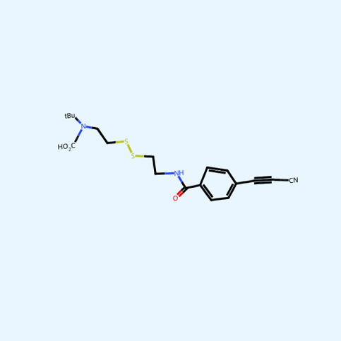 CC(C)(C)N(CCSSCCNC(=O)c1ccc(C#CC#N)cc1)C(=O)O